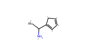 CC(C)(C)C(N)C1=CC=CC1